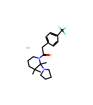 CC1(C)CCCN(C(=O)Cc2ccc(C(F)(F)F)cc2)C1(C)N1CCCC1.Cl